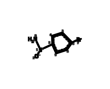 N[S+]([O-])c1ccc(Br)cc1